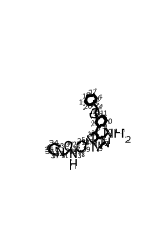 Nc1ncnc2c1c(-c1cccc(OCc3ccccc3)c1)cn2C1CCC(NC(=O)CN2CCCCC2)CC1